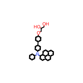 OCC(O)COc1ccc(-c2ccc(N(c3ccccc3)c3ccc4ccc5cccc6ccc3c4c56)cc2)cc1